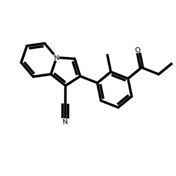 CCC(=O)c1cccc(-c2cn3ccccc3c2C#N)c1C